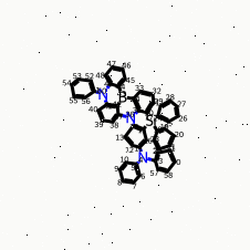 c1ccc(N(c2ccccc2)c2ccc3c(c2)[Si](c2ccccc2)(c2ccccc2)c2cccc4c2N3c2cccc3c2B4c2ccccc2N3c2ccccc2)cc1